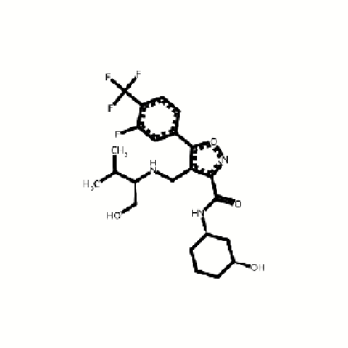 CC(C)[C@H](CO)NCc1c(C(=O)N[C@@H]2CCC[C@H](O)C2)noc1-c1ccc(C(F)(F)F)c(F)c1